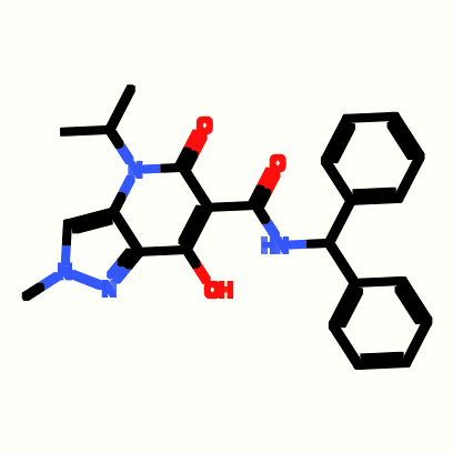 CC(C)n1c(=O)c(C(=O)NC(c2ccccc2)c2ccccc2)c(O)c2nn(C)cc21